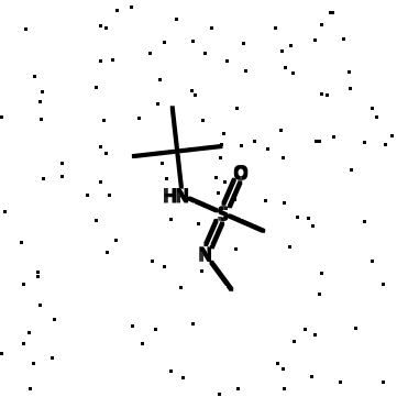 CN=S(C)(=O)NC(C)(C)C